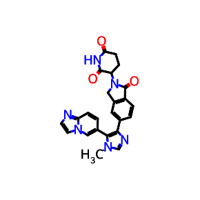 Cn1cnc(-c2ccc3c(c2)CN(C2CCC(=O)NC2=O)C3=O)c1-c1ccc2nccn2c1